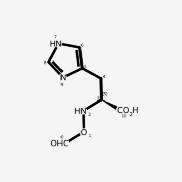 O=CON[C@@H](Cc1c[nH]cn1)C(=O)O